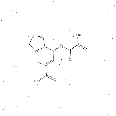 C=C(O)C(=O)OC(C=C(C)C(=O)O)C1CCCO1